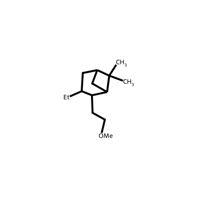 CCC1CC2CC(C1CCOC)C2(C)C